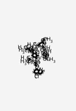 CC(C)Oc1cc(-n2nc(C(C)(C)C)oc2=O)c(Cl)cc1Cl.COc1cc(OC)nc(NC(=O)NS(=O)(=O)N(C)S(C)(=O)=O)n1.O=C(O)COc1ccc(Cl)c2cccnc12